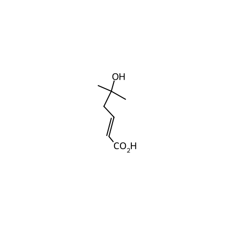 CC(C)(O)CC=CC(=O)O